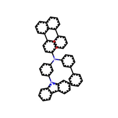 c1ccc(-c2cccc(N(c3ccc(-c4cccc5cccc(-c6ccccc6)c45)cc3)c3cccc(-n4c5ccccc5c5ccccc54)c3)c2)cc1